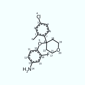 Cc1cc(Cl)ccc1C1(Oc2ccc(N)cc2F)CCOCC1